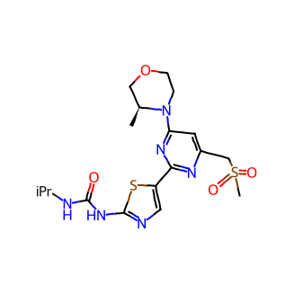 CC(C)NC(=O)Nc1ncc(-c2nc(CS(C)(=O)=O)cc(N3CCOC[C@@H]3C)n2)s1